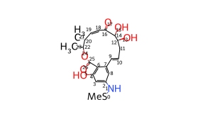 CSNc1cc(O)c2c(c1)/C=C/C[C@H](O)C(O)C(=O)/C=C\[C@@H](C)C(C)OC2=O